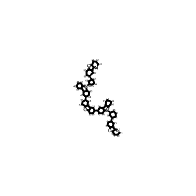 c1cc(-c2ccc3oc4cccnc4c3c2)cc(-n2c3ccccc3c3cc(-c4ccc5oc6ccc(-c7ccc8c(c7)c7ccccc7n8-c7cccc(-c8ccc9oc%10cccnc%10c9c8)c7)cc6c5c4)ccc32)c1